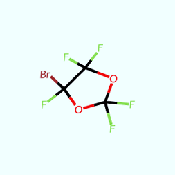 FC1(F)OC(F)(F)C(F)(Br)O1